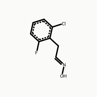 O/N=C/Cc1c(F)cccc1Cl